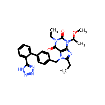 CCc1nc2c(c(=O)n(CC)c(=O)n2C(C)OC)n1Cc1ccc(-c2ccccc2-c2nnn[nH]2)cc1